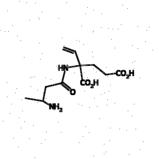 C=CC(CCC(=O)O)(NC(=O)CC(C)N)C(=O)O